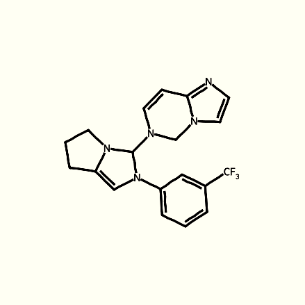 FC(F)(F)c1cccc(N2C=C3CCCN3C2N2C=Cc3nccn3C2)c1